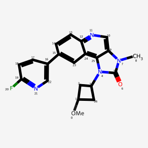 COC1CC(n2c(=O)n(C)c3cnc4ccc(-c5ccc(F)nc5)cc4c32)C1